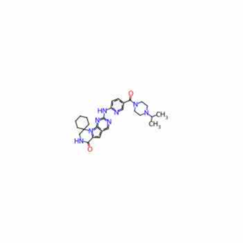 CC(C)N1CCN(C(=O)c2ccc(Nc3ncc4cc5n(c4n3)C3(CCCCC3)CNC5=O)nc2)CC1